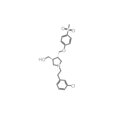 CS(=O)(=O)c1ccc(OC[C@@H]2CN(CCc3cccc(Cl)c3)C[C@H]2CO)cc1